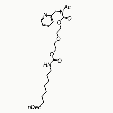 CCCCCCCCCCCCCCCCCNC(=O)OCCOCCOC(=O)N(Cc1ccccn1)C(C)=O